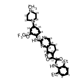 CCc1cccc(CC)c1NC(=O)c1onc2c1CCc1cnc(Nc3ccc(N4CCN(C)CC4)cc3OC(F)(F)F)nc1-2